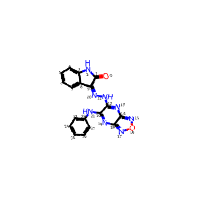 O=C1Nc2ccccc2/C1=N/Nc1nc2nonc2nc1Nc1ccccc1